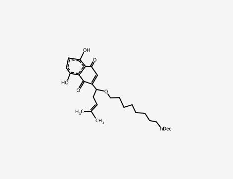 CCCCCCCCCCCCCCCCCCOC(CC=C(C)C)C1=CC(=O)c2c(O)ccc(O)c2C1=O